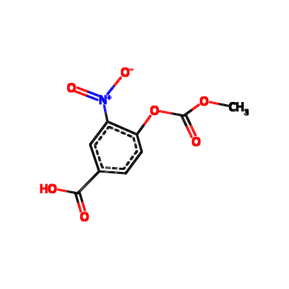 COC(=O)Oc1ccc(C(=O)O)cc1[N+](=O)[O-]